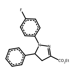 CCOC(=O)C1=NN(c2ccc(F)cc2)C(c2ccccc2)C1